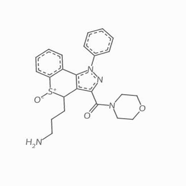 NCCCC1c2c(C(=O)N3CCOCC3)nn(-c3ccccc3)c2-c2ccccc2[S+]1[O-]